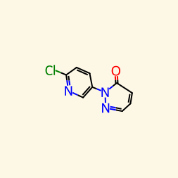 O=c1cccnn1-c1ccc(Cl)nc1